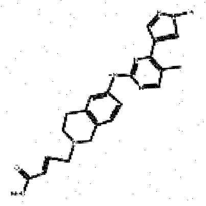 COC(=O)/C=C/CN1CCc2cc(Nc3ncc(C)c(-c4cnn(C(C)C)c4)n3)ccc2C1